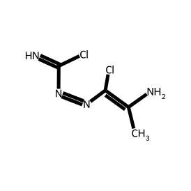 C/C(N)=C(Cl)\N=N/C(=N)Cl